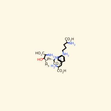 CC(C)[C@H](N)C(=O)O.C[C@@H](O)[C@H](N)C(=O)O.NCCC[C@H](N)C(=O)O.N[C@@H](Cc1ccccc1)C(=O)O